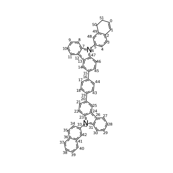 C1=Cc2ccc(-n3c4ccccc4c4cc(-c5ccc(-c6ccc7c(c6)c6ccccc6n7-c6ccc7ccccc7c6)cc5)ccc43)cc2CC1